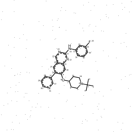 CC(C)(C)N1CCC(Oc2cc3nc(Nc4cccc(F)c4)ncc3cc2-c2cccnc2)CC1